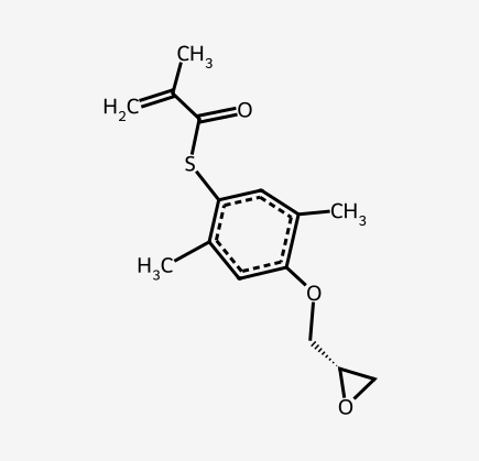 C=C(C)C(=O)Sc1cc(C)c(OC[C@@H]2CO2)cc1C